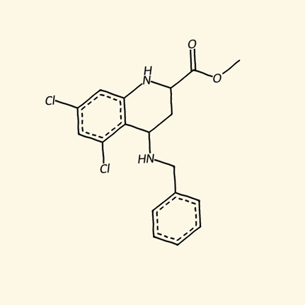 COC(=O)C1CC(NCc2ccccc2)c2c(Cl)cc(Cl)cc2N1